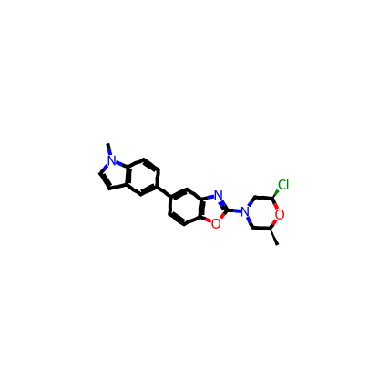 C[C@H]1CN(c2nc3cc(-c4ccc5c(ccn5C)c4)ccc3o2)C[C@@H](Cl)O1